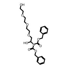 O=C(OCc1ccccc1)N(C(=O)OCc1ccccc1)C(O)COCCOCCOCCO